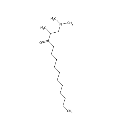 CCCCCCCCCCCC(=O)C(C)CN(C)C